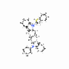 c1ccc(-n2c3ccccc3c3cc4cc5c(cc4cc32)c2ccccc2n5-c2cc3ccccc3s2)cc1